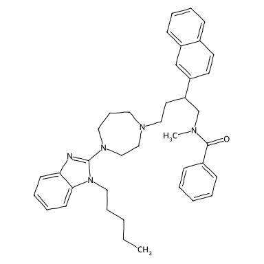 CCCCCn1c(N2CCCN(CCC(CN(C)C(=O)c3ccccc3)c3ccc4ccccc4c3)CC2)nc2ccccc21